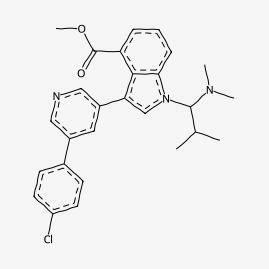 COC(=O)c1cccc2c1c(-c1cncc(-c3ccc(Cl)cc3)c1)cn2C(C(C)C)N(C)C